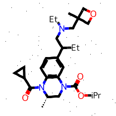 CCC(CN(CC)CC1(C)COC1)c1ccc2c(c1)N(C(=O)OC(C)C)C[C@H](C)N2C(=O)C1CC1